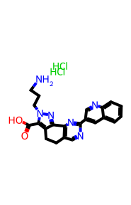 Cl.Cl.NCCCn1nc2c(c1C(=O)O)CCc1cnc(-c3cnc4ccccc4c3)nc1-2